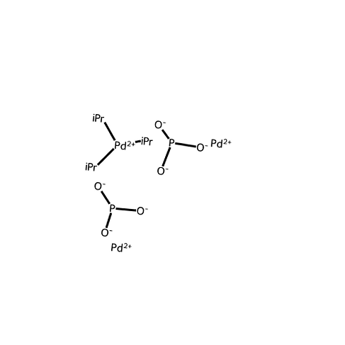 C[CH](C)[Pd+2]([CH](C)C)[CH](C)C.[O-]P([O-])[O-].[O-]P([O-])[O-].[Pd+2].[Pd+2]